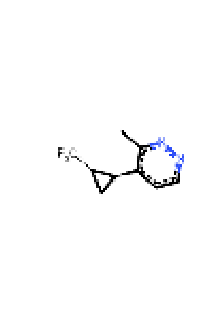 Cc1nnccc1[C@H]1C[C@@H]1C(F)(F)F